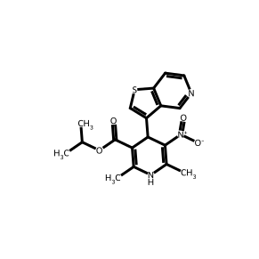 CC1=C(C(=O)OC(C)C)C(c2csc3ccncc23)C([N+](=O)[O-])=C(C)N1